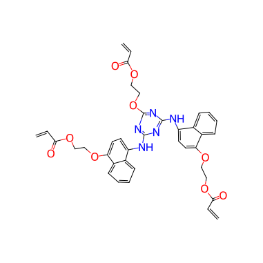 C=CC(=O)OCCOc1nc(Nc2ccc(OCCOC(=O)C=C)c3ccccc23)nc(Nc2ccc(OCCOC(=O)C=C)c3ccccc23)n1